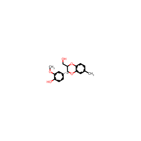 COc1cc([C@H]2Oc3cc(C)ccc3OC2CO)ccc1O